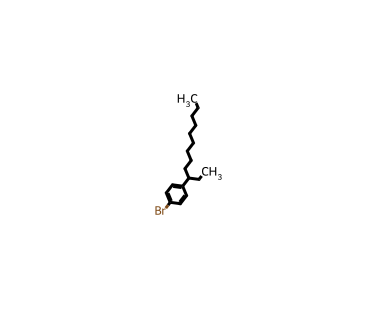 CCCCCCCCCC(CC)c1ccc(Br)cc1